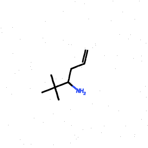 C=CCC(N)C(C)(C)C